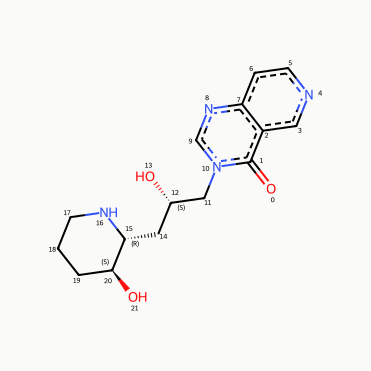 O=c1c2cnccc2ncn1C[C@@H](O)C[C@H]1NCCC[C@@H]1O